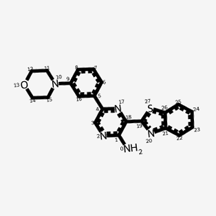 Nc1ncc(-c2cccc(N3CCOCC3)c2)nc1-c1nc2ccccc2s1